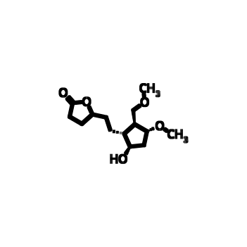 COC[C@@H]1[C@@H](CCC2CCC(=O)O2)[C@H](O)C[C@H]1OC